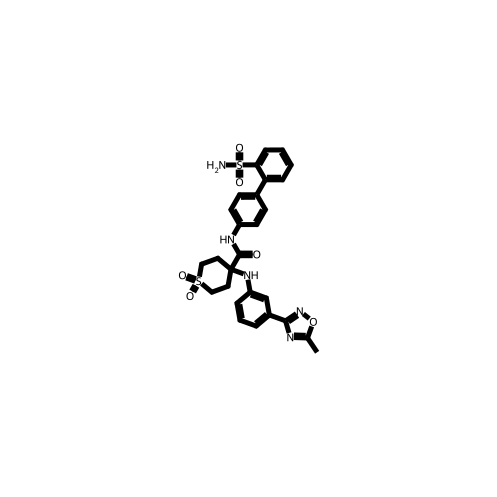 Cc1nc(-c2cccc(NC3(C(=O)Nc4ccc(-c5ccccc5S(N)(=O)=O)cc4)CCS(=O)(=O)CC3)c2)no1